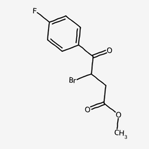 COC(=O)CC(Br)C(=O)c1ccc(F)cc1